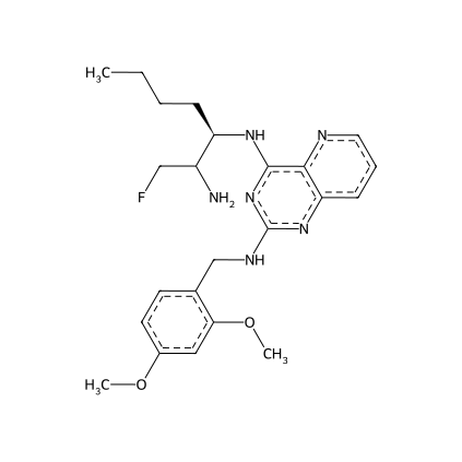 CCCC[C@@H](Nc1nc(NCc2ccc(OC)cc2OC)nc2cccnc12)C(N)CF